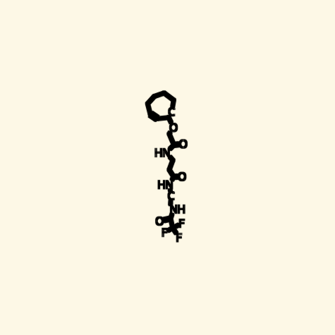 O=C(CCNC(=O)COC1C#CCCCCC1)NCCNC(=O)C(F)(F)F